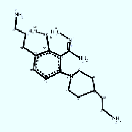 C/N=C(/N)c1c(N2CCC(CCN)CC2)ccc(CCCN)c1SN